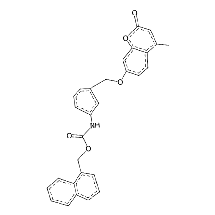 Cc1cc(=O)oc2cc(OCc3cccc(NC(=O)OCc4cccc5ccccc45)c3)ccc12